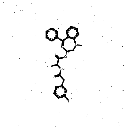 CC(NC(=O)Cc1cccc(F)c1)C(=O)N[C@@H]1CN(C)c2ccccc2C(c2ccccc2)=N1